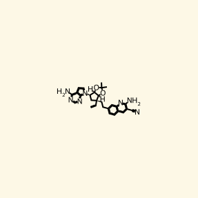 C=C[C@]1(CCc2ccc3cc(C#N)c(N)nc3c2)C[C@@H](n2ccc3c(N)ncnc32)[C@@H]2OC(C)(C)O[C@@H]21